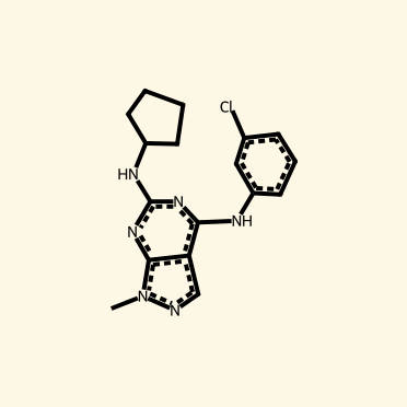 Cn1ncc2c(Nc3cccc(Cl)c3)nc(NC3CCCC3)nc21